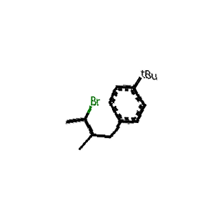 CC(Br)C(C)Cc1ccc(C(C)(C)C)cc1